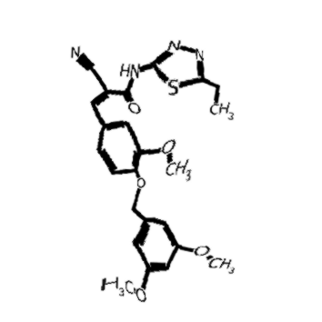 CCc1nnc(NC(=O)C(C#N)=Cc2ccc(OCc3cc(OC)cc(OC)c3)c(OC)c2)s1